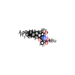 CC(=O)O[C@H]1CC[C@]2(C)[C@H]3CC[C@@H]4C5=C(C(C)C)C(=O)C[C@]5(NC(=O)C5(NC(=O)OC(C)(C)C)CCCC5)CC[C@@]4(C)[C@]3(C)CC[C@H]2C1(C)C